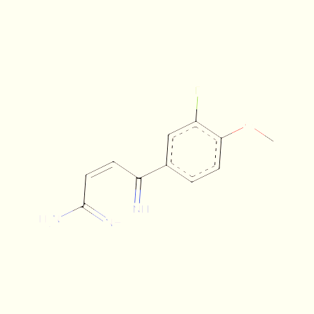 COc1ccc(C(=N)/C=C\C(=N)N)cc1F